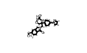 COc1ccc2c(c1)CN(CC1(c3ccc(-n4cccn4)cc3)CONC(=O)N1)C2=O